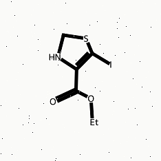 CCOC(=O)C1=C(I)SCN1